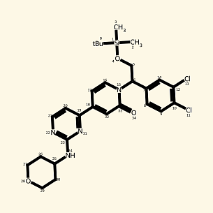 CC(C)(C)[Si](C)(C)OCC(c1ccc(Cl)c(Cl)c1)n1ccc(-c2ccnc(NC3CCOCC3)n2)cc1=O